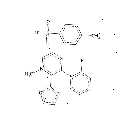 C[n+]1cccc(-c2ccccc2F)c1-c1ncco1.Cc1ccc(S(=O)(=O)[O-])cc1